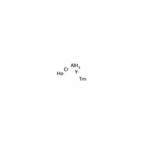 [AlH3].[Cr].[Ho].[Tm].[Y]